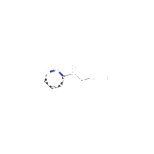 CCCCCCNc1cccbn1